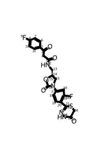 O=C(CC(=O)c1ccc(F)cc1)NC[C@H]1CN(c2ccc(C3=NNC(=O)CS3)c(F)c2)C(=O)O1